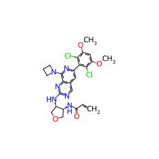 C=CC(=O)N[C@H]1COC[C@H]1Nc1ncc2cc(-c3c(Cl)c(OC)cc(OC)c3Cl)nc(N3CCC3)c2n1